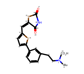 CC(C)(C)N(CCc1cccc(-c2ccc(C=C3SC(=O)NC3=O)s2)c1)C(=O)O